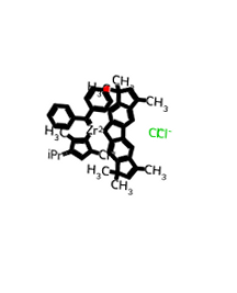 CC1=CC(C)(C)c2cc3c(cc21)-c1cc2c(cc1[CH]3[Zr+2]([C]1=C(C)C(C(C)C)=CC1C)=[C](c1ccccc1)c1ccccc1)C(C)(C)C=C2C.[Cl-].[Cl-]